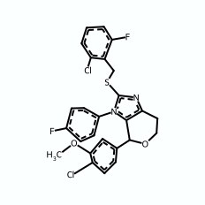 COc1cc(C2OCCc3nc(SCc4c(F)cccc4Cl)n(-c4ccc(F)cc4)c32)ccc1Cl